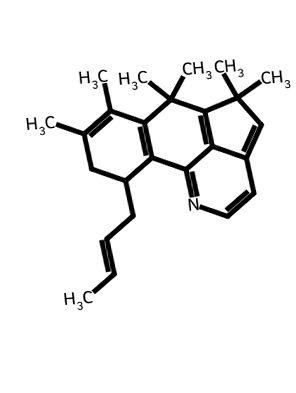 CC=CCC1CC(C)=C(C)C2=C1c1nccc3c1=C(C(C)(C)C=3)C2(C)C